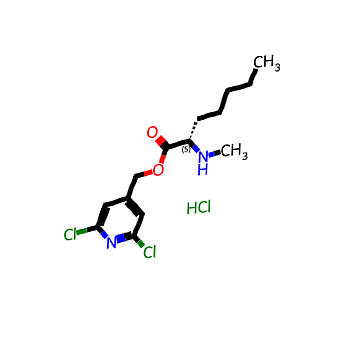 CCCCC[C@H](NC)C(=O)OCc1cc(Cl)nc(Cl)c1.Cl